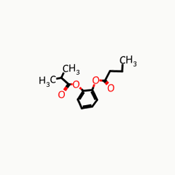 CCCC(=O)Oc1ccccc1OC(=O)C(C)C